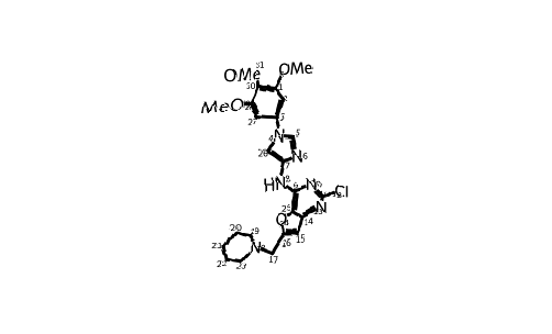 COc1cc(-n2cnc(Nc3nc(Cl)nc4cc(CN5CCCCC5)oc34)c2)cc(OC)c1OC